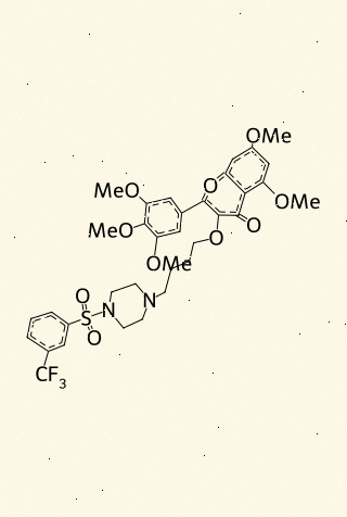 COc1cc(OC)c2c(=O)c(OCCCCN3CCN(S(=O)(=O)c4cccc(C(F)(F)F)c4)CC3)c(-c3cc(OC)c(OC)c(OC)c3)oc2c1